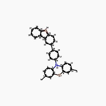 Cc1ccc2c(c1)Sc1cc(C)ccc1N2c1ccc(-c2ccc3sc4ccccc4c3c2)cc1